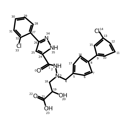 O=C(NN(Cc1ccc(-c2cccc(Cl)c2)cc1)CC(O)C(=O)O)c1cc(-c2ccccc2Cl)n[nH]1